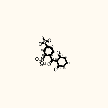 CS(=O)(=O)c1ccc(C(=O)C2C(=O)CCCC2=O)c([N+](=O)[O-])c1.[Cu]